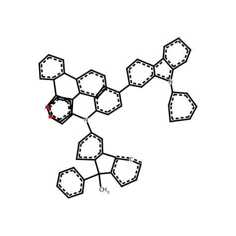 CC1(c2ccccc2)c2ccccc2-c2cc(N(c3ccc(-c4ccc5c6ccccc6n(-c6ccccc6)c5c4)cc3)c3ccccc3-c3ccccc3-c3ccccc3-c3ccccc3)ccc21